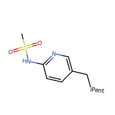 CCCC(C)Cc1ccc(NS(C)(=O)=O)nc1